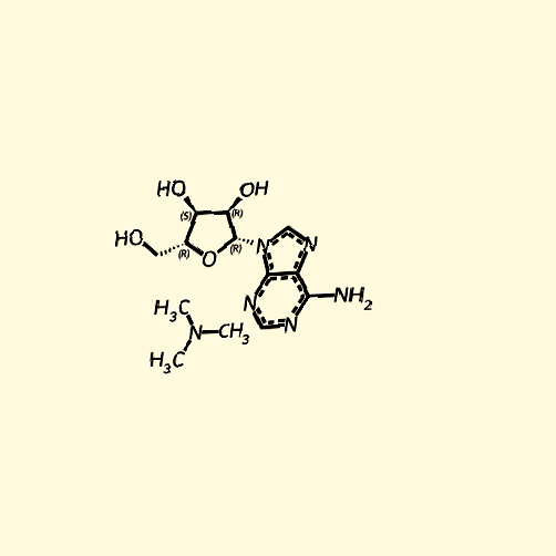 CN(C)C.Nc1ncnc2c1ncn2[C@@H]1O[C@H](CO)[C@@H](O)[C@H]1O